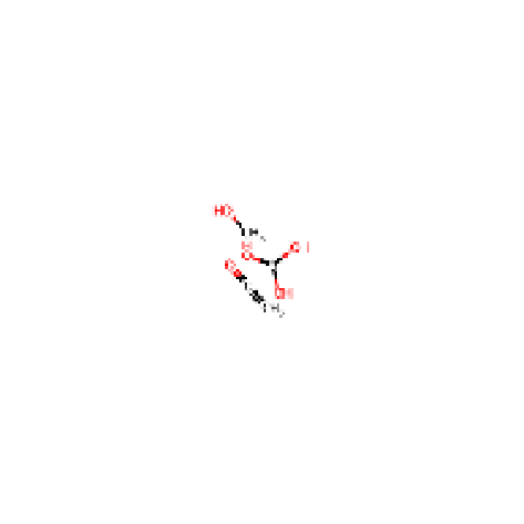 C=C=O.CO.OB(O)O